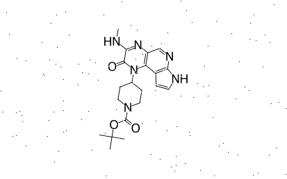 CNc1nc2cnc3[nH]ccc3c2n(C2CCN(C(=O)OC(C)(C)C)CC2)c1=O